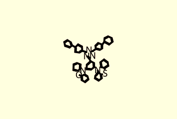 c1ccc(-c2ccc(-c3nc(-c4ccc(-c5ccccc5)cc4)nc(-c4cc(N5c6ccccc6Oc6ccccc65)cc(N5c6ccccc6Sc6ccccc65)c4)n3)cc2)cc1